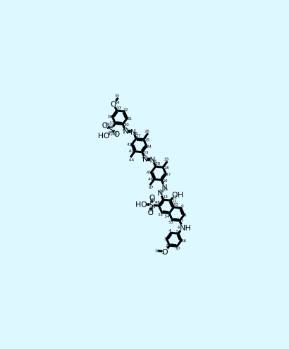 COc1ccc(Nc2ccc3c(O)c(N=NC4=CC(C)C(N=Nc5cc(C)c(N=Nc6ccc(OC)cc6S(=O)(=O)O)cc5C)C=C4C)c(S(=O)(=O)O)cc3c2)cc1